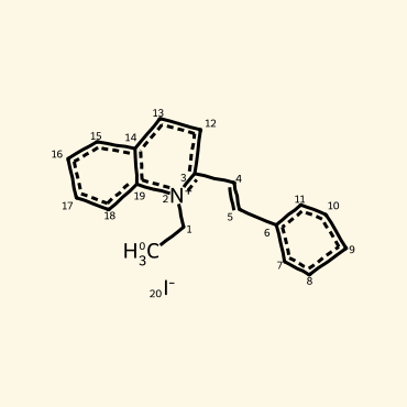 CC[n+]1c(C=Cc2ccccc2)ccc2ccccc21.[I-]